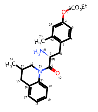 CCOC(=O)Oc1ccc(C[C@@H](N)C(=O)N2CC(C)Cc3ccccc32)c(C)c1